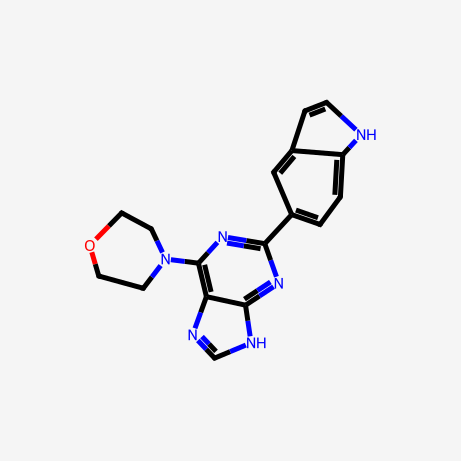 c1cc2cc(-c3nc(N4CCOCC4)c4nc[nH]c4n3)ccc2[nH]1